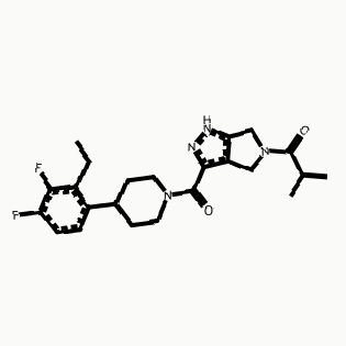 CCc1c(C2CCN(C(=O)c3n[nH]c4c3CN(C(=O)C(C)C)C4)CC2)ccc(F)c1F